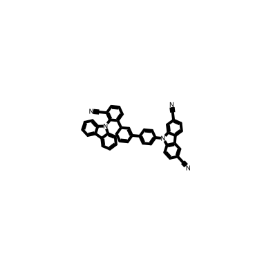 N#Cc1ccc2c(c1)c1ccc(C#N)cc1n2-c1ccc(C2=CC(c3cccc(C#N)c3-n3c4ccccc4c4ccccc43)CC=C2)cc1